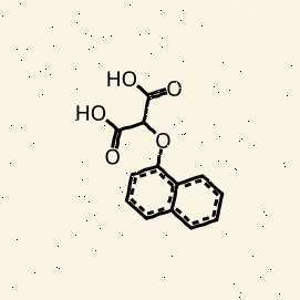 O=C(O)C(Oc1cccc2ccccc12)C(=O)O